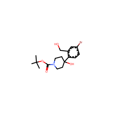 CC(C)(C)OC(=O)N1CCC(O)(c2ccc(Br)cc2CO)CC1